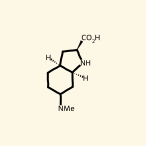 CNC1CC[C@H]2C[C@@H](C(=O)O)N[C@H]2C1